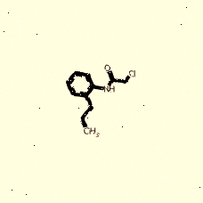 CCCc1ccccc1NC(=O)CCl